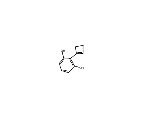 Oc1cccc(O)c1C1=CCC1